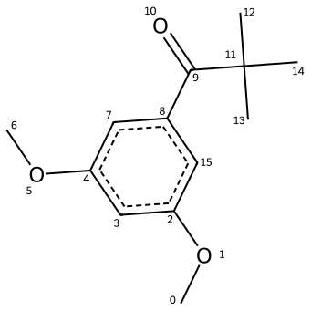 COc1cc(OC)cc(C(=O)C(C)(C)C)c1